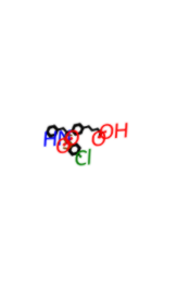 O=C(O)CCCc1ccc(C(Cc2ccccc2)NS(=O)(=O)c2ccc(Cl)cc2)cc1